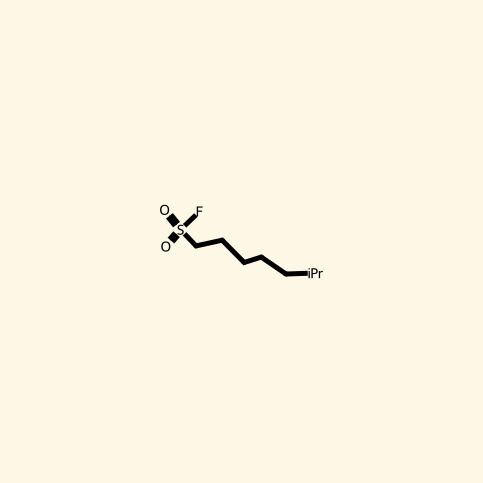 CC(C)CCCCCS(=O)(=O)F